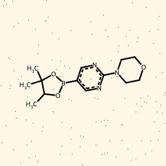 CC1OB(c2cnc(N3CCOCC3)nc2)OC1(C)C